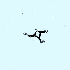 CCCC=C1OC(=O)C1CCC